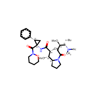 CC[C@H](C)[C@@H]([C@@H](CC(=O)N1CCC[C@H]1[C@H](OC)[C@@H](C)C(=O)N[C@@]1(C(=O)N2CCCCO2)C[C@H]1c1ccccc1)OC)N(C)C(C)=O